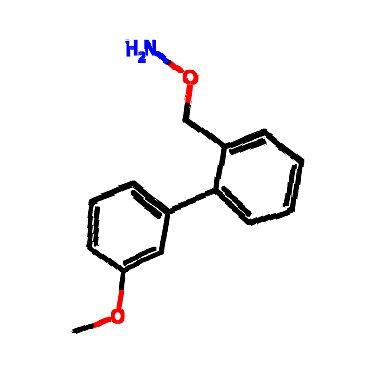 COc1cccc(-c2ccccc2CON)c1